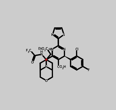 CCOC(=O)CC1(NC(=O)C(F)(F)F)CC2COCC(C1)N2CC1=C(C(=O)O)[C@H](c2ccc(F)cc2Cl)N=C(c2nccs2)N1